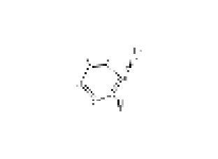 [Li].[Li].[Li].c1ccccc1